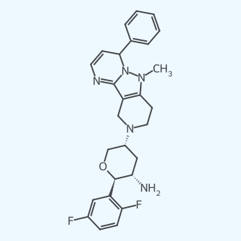 CN1C2=C(CN([C@H]3CO[C@H](c4cc(F)ccc4F)[C@@H](N)C3)CC2)C2=NC=CC(c3ccccc3)N21